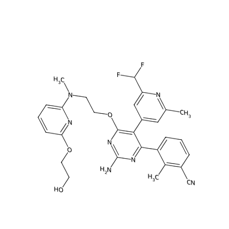 Cc1cc(-c2c(OCCN(C)c3cccc(OCCO)n3)nc(N)nc2-c2cccc(C#N)c2C)cc(C(F)F)n1